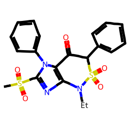 CCN1c2nc(S(C)(=O)=O)n(-c3ccccc3)c2C(=O)C(c2ccccc2)S1(=O)=O